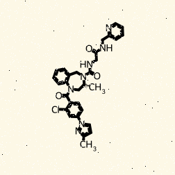 Cc1ccn(-c2ccc(C(=O)N3C[C@@H](C)N(C(=O)NCC(=O)NCc4ccccn4)Cc4ccccc43)c(Cl)c2)n1